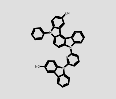 N#Cc1ccc2c(c1)c1ccccc1n2-c1cccc(-n2c3ccccc3c3c4c5cc(C#N)ccc5n(-c5ccccc5)c4ccc32)n1